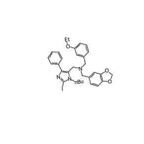 CCCCn1c(I)nc(-c2ccccc2)c1CN(Cc1cccc(OCC)c1)Cc1ccc2c(c1)OCO2